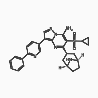 Nc1c(S(=O)(=O)C2CC2)c([C@H]2C[C@H]3CC[C@@H](C2)N3)nc2c(-c3ccc(-c4ccccc4)nc3)cnn12